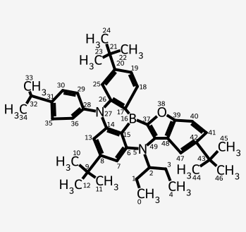 CCC(CC)N1c2cc(C(C)(C)C)cc3c2B(c2ccc(C(C)(C)C)cc2N3c2ccc(C(C)C)cc2)c2oc3ccc(C(C)(C)C)cc3c21